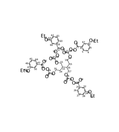 CCOc1cccc(C(=O)OOC(=O)OCCC(COC(=O)OOC(=O)c2cccc(OCC)c2)C(CCOC(=O)OOC(=O)c2cccc(OCC)c2)COC(=O)OOC(=O)c2cccc(OCC)c2)c1